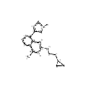 Cn1cnc(-c2nccc3c(O)nc(OCCC4CC4)nc23)c1